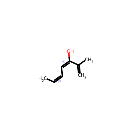 C=C(C)/C(O)=C\C=C/C